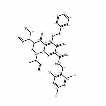 C=CC(C)N1CN([C@H](C=C)CF)C(=O)c2c(OCc3ccccc3)c(=O)c(C(=O)NCc3c(F)cc(F)cc3F)cn21